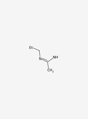 CCCN=C(C)[NH]